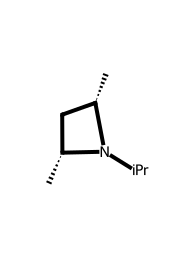 CC(C)N1[C@H](C)C[C@@H]1C